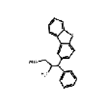 CNCC(C)C(c1ccccc1)c1ccc2sc3ccccc3c2c1